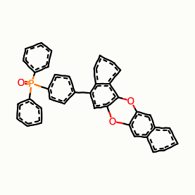 O=P(c1ccccc1)(c1ccccc1)c1ccc(-c2cc3c(c4ccccc24)Oc2cc4ccccc4cc2O3)cc1